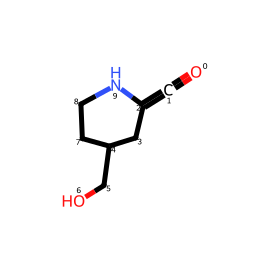 O=C=C1CC(CO)CCN1